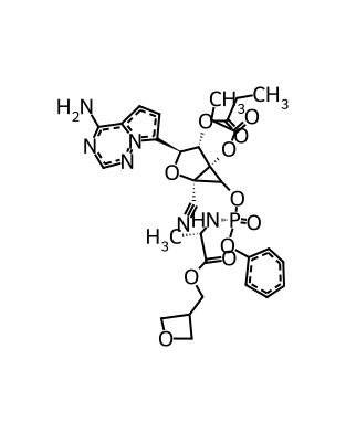 CCC(=O)O[C@H]1[C@H](c2ccc3c(N)ncnn23)O[C@]2(C#N)C(O[P@](=O)(N[C@@H](C)C(=O)OCC3COC3)Oc3ccccc3)[C@]12OC(=O)CC